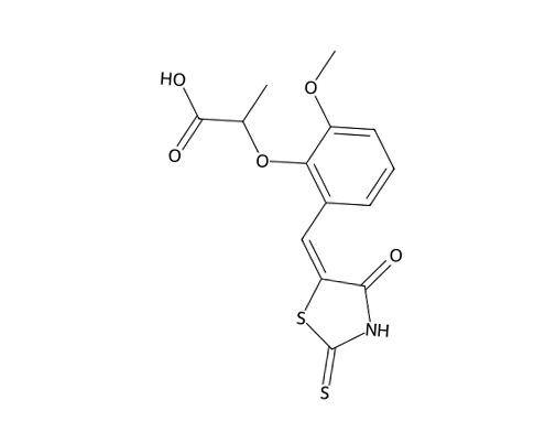 COc1cccc(/C=C2/SC(=S)NC2=O)c1OC(C)C(=O)O